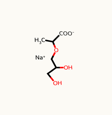 CC(OCC(O)CO)C(=O)[O-].[Na+]